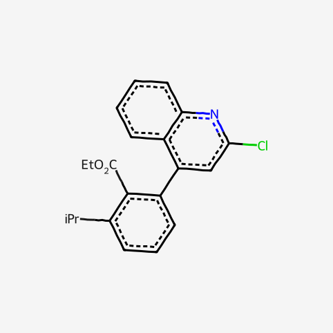 CCOC(=O)c1c(-c2cc(Cl)nc3ccccc23)cccc1C(C)C